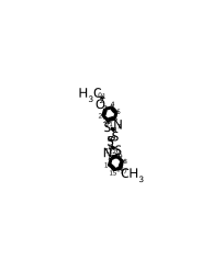 CCOc1ccc2nc(SSc3nc4ccc(C)cc4s3)sc2c1